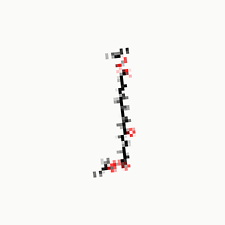 CCC(CC)OOC(=O)CCCCCCCCCC(=O)CCCCC(=O)OOC(CC)CC